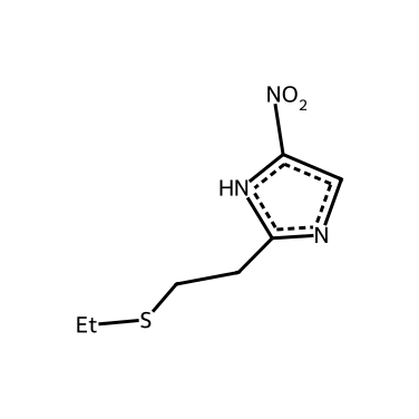 CCSCCc1ncc([N+](=O)[O-])[nH]1